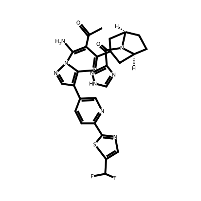 CC(=O)c1c(C2C[C@H]3CC[C@@H](C2)N3C(=O)c2nc[nH]n2)nc2c(-c3ccc(-c4ncc(C(F)F)s4)nc3)cnn2c1N